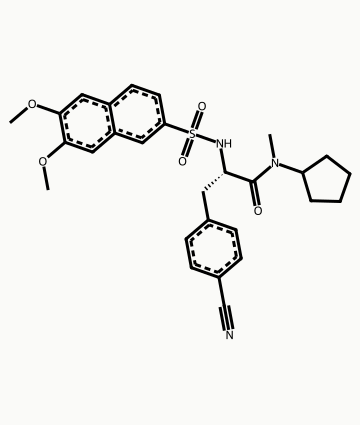 COc1cc2ccc(S(=O)(=O)N[C@@H](Cc3ccc(C#N)cc3)C(=O)N(C)C3CCCC3)cc2cc1OC